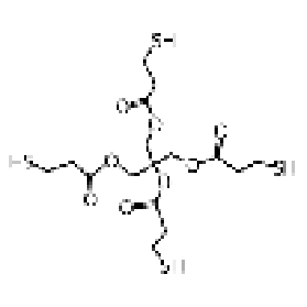 O=C(CCS)OCC(COC(=O)CCS)(COC(=O)CCS)OC(=O)CCS